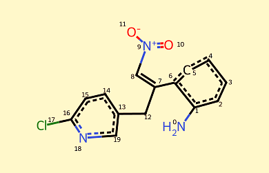 Nc1ccccc1/C(=C\[N+](=O)[O-])Cc1ccc(Cl)nc1